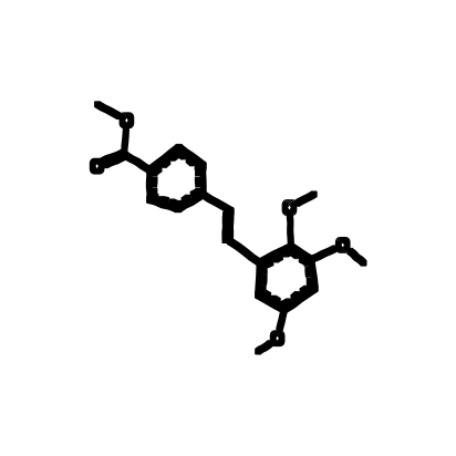 COC(=O)c1ccc(C=Cc2cc(OC)cc(OC)c2OC)cc1